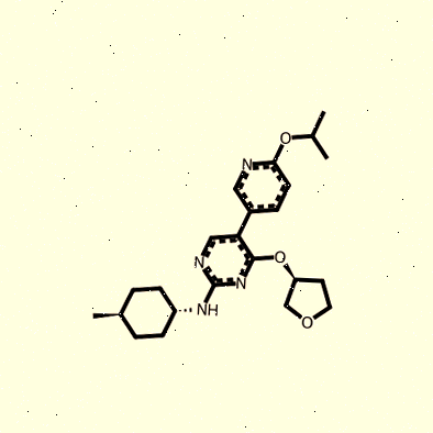 CC(C)Oc1ccc(-c2cnc(N[C@H]3CC[C@H](C)CC3)nc2O[C@H]2CCOC2)cn1